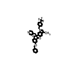 Cc1cn(Cc2ccc(C(F)(F)F)cc2)c2cc(C3(Cc4ccncc4)C(=O)c4ccc(OCc5ccccc5)cc4C3=O)ccc12